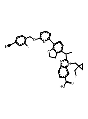 CC(c1ccc(-c2cccc(OCc3ccc(C#N)cc3F)n2)c2c1CCO2)c1nc2ccc(C(=O)O)cc2n1CC1(CF)CC1